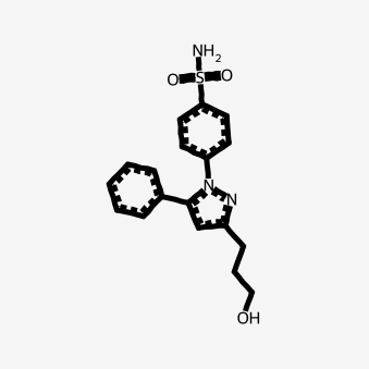 NS(=O)(=O)c1ccc(-n2nc(CCCO)cc2-c2ccccc2)cc1